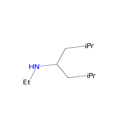 CCNC(CC(C)C)CC(C)C